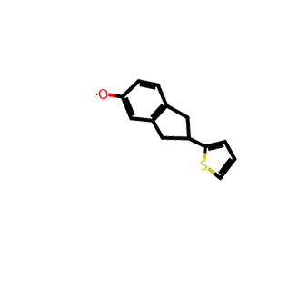 [O]c1ccc2c(c1)CC(c1cccs1)C2